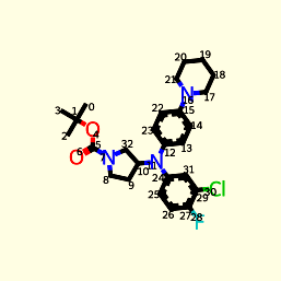 CC(C)(C)OC(=O)N1CCC(N(c2ccc(N3CCCCC3)cc2)c2ccc(F)c(Cl)c2)C1